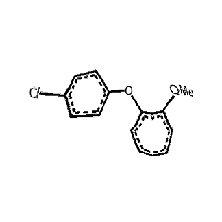 COc1ccccc1Oc1ccc(Cl)cc1